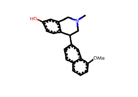 COc1cccc2ccc(C3CN(C)Cc4cc(O)ccc43)cc12